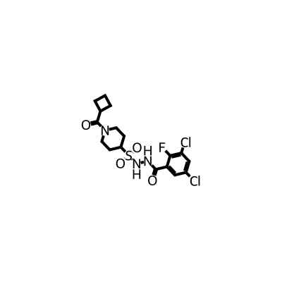 O=C(NNS(=O)(=O)C1CCN(C(=O)C2CCC2)CC1)c1cc(Cl)cc(Cl)c1F